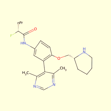 CCC[C@@H](F)C(=O)Nc1ccc(OC[C@H]2CCCCN2)c(-c2c(C)ncnc2C)c1